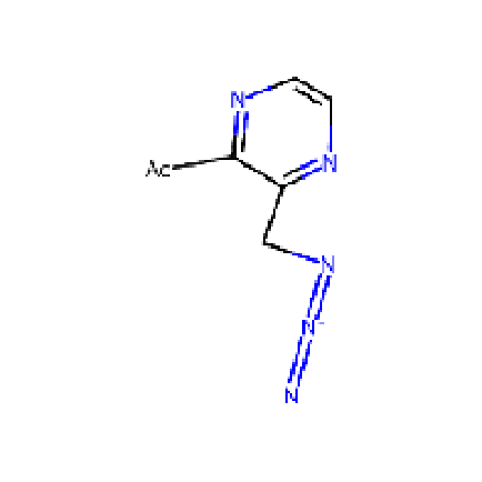 CC(=O)c1nccnc1CN=[N+]=[N-]